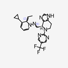 C/C=C1/C(C2CC2)=CC=CN1/N=C/[C@H]1c2nc[nH]c2CCN1c1ncc(C(F)(F)F)cn1